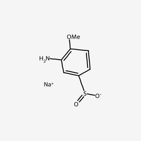 COc1ccc(S(=O)[O-])cc1N.[Na+]